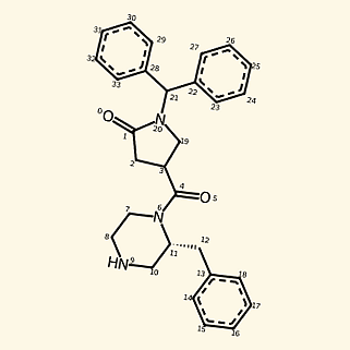 O=C1CC(C(=O)N2CCNC[C@H]2Cc2ccccc2)CN1C(c1ccccc1)c1ccccc1